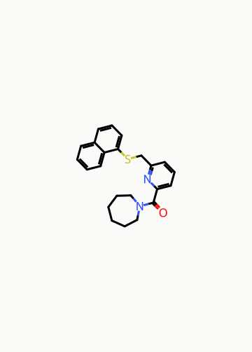 O=C(c1cccc(CSc2cccc3ccccc23)n1)N1CCCCCC1